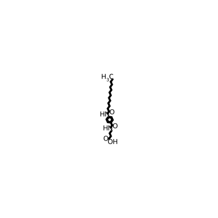 CCCCCCCCCCCCCC(=O)Nc1ccc(C(=O)NCCCC(=O)O)cc1